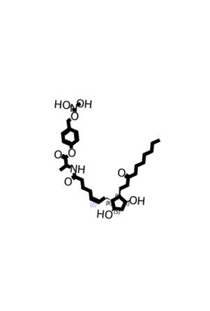 CCCCCCCC(=O)CC[C@@H]1[C@@H](C/C=C\CCCC(=O)NC(C)C(=O)Oc2ccc(CON(O)O)cc2)[C@@H](O)C[C@H]1O